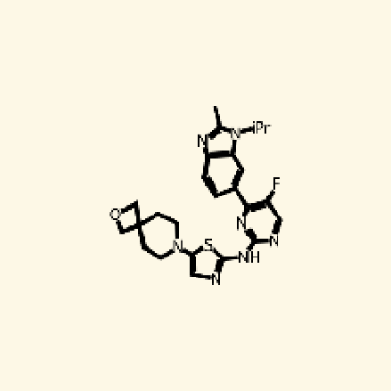 Cc1nc2ccc(-c3nc(Nc4ncc(N5CCC6(CC5)COC6)s4)ncc3F)cc2n1C(C)C